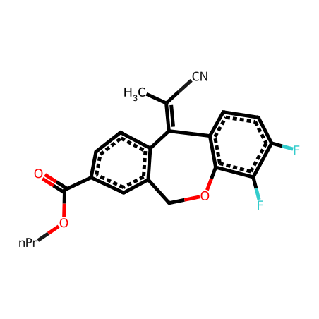 CCCOC(=O)c1ccc2c(c1)COc1c(ccc(F)c1F)C2=C(C)C#N